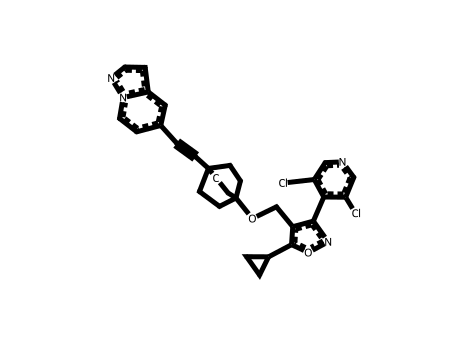 Clc1cncc(Cl)c1-c1noc(C2CC2)c1COC12CCC(C#Cc3ccn4nccc4c3)(CC1)CC2